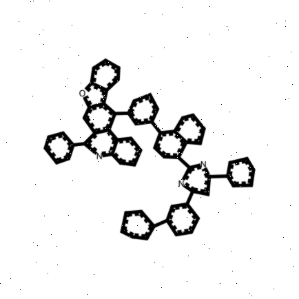 c1ccc(-c2cccc(-c3cc(-c4ccccc4)nc(-c4ccc(-c5cccc(-c6c7c(cc8c(-c9ccccc9)nc9ccccc9c68)oc6ccccc67)c5)c5ccccc45)n3)c2)cc1